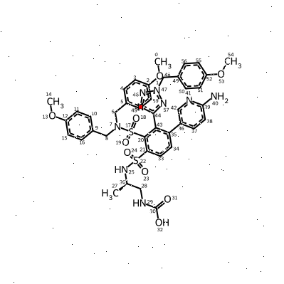 COc1ccc(CN(Cc2ccc(OC)cc2)S(=O)(=O)c2c(S(=O)(=O)N[C@H](C)CNC(=O)O)ccc(-c3ccc(N)nc3)c2-c2nnn(Cc3ccc(OC)cc3)n2)cc1